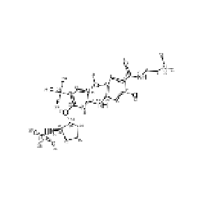 COc1cc(C(=O)NCCN(C)C)c(Cl)cc1Nc1ncc(C(F)(F)F)c(O[C@@H]2CCC[C@H]2NS(C)(=O)=O)n1